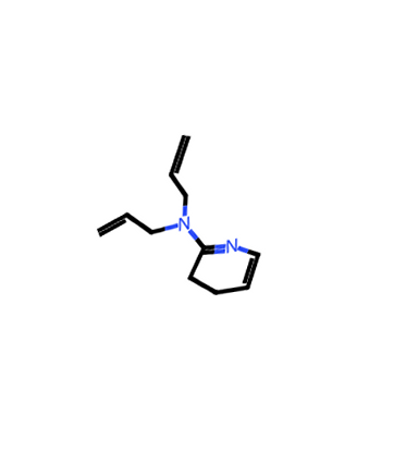 C=CCN(CC=C)C1=NC=CCC1